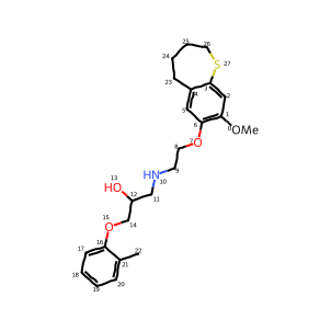 COc1cc2c(cc1OCCNCC(O)COc1ccccc1C)CCCCS2